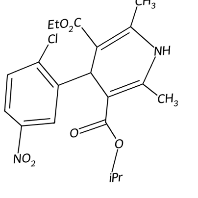 CCOC(=O)C1=C(C)NC(C)=C(C(=O)OC(C)C)C1c1cc([N+](=O)[O-])ccc1Cl